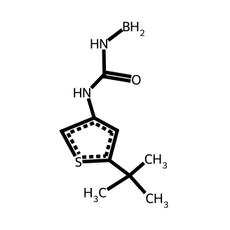 BNC(=O)Nc1csc(C(C)(C)C)c1